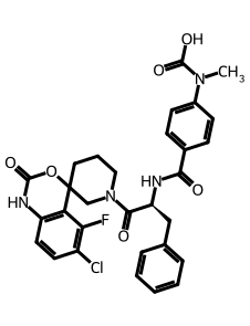 CN(C(=O)O)c1ccc(C(=O)N[C@@H](Cc2ccccc2)C(=O)N2CCCC3(C2)OC(=O)Nc2ccc(Cl)c(F)c23)cc1